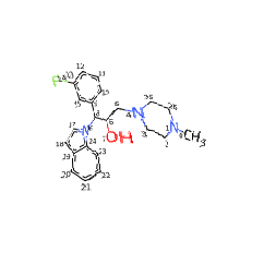 CN1CCN(CC(O)C(c2cccc(F)c2)n2ccc3ccccc32)CC1